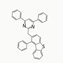 c1ccc(-c2cc(-c3ccccc3)nc(Cc3ccc4sc5ccccc5c4c3-c3ccccc3)n2)cc1